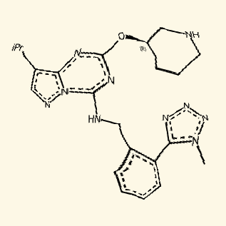 CC(C)c1cnn2c(NCc3ccccc3-c3nnnn3C)nc(O[C@@H]3CCCNC3)nc12